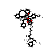 CCC(CC(C)C(=O)COCCOc1ccc(C2=NC3(N=C2c2ccc(C)cc2)c2cc4ccc2CCCc2ccc(cc2-c2nc(-c5ccccc5)c(-c5ccccc5)n23)CCC4)cc1)c1ccccc1